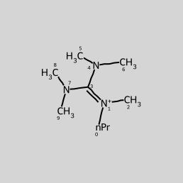 CCC[N+](C)=C(N(C)C)N(C)C